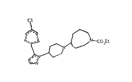 CCOC(=O)N1CCCC(N2CCC(n3nccc3-c3ccc(Cl)cc3)CC2)CC1